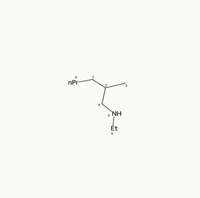 CCCCC(C)CNCC